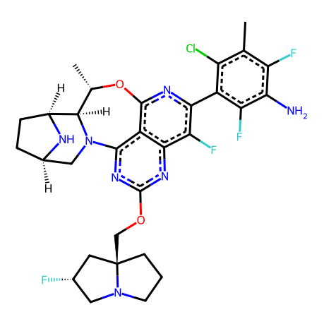 Cc1c(F)c(N)c(F)c(-c2nc3c4c(nc(OC[C@@]56CCCN5C[C@H](F)C6)nc4c2F)N2C[C@H]4CC[C@H](N4)[C@H]2[C@H](C)O3)c1Cl